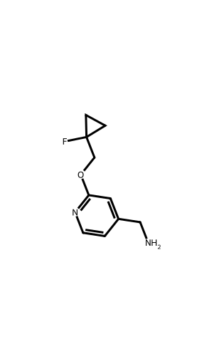 NCc1ccnc(OCC2(F)CC2)c1